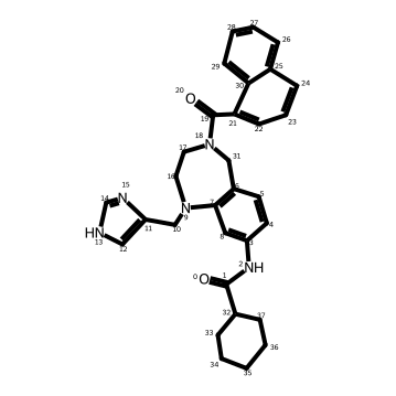 O=C(Nc1ccc2c(c1)N(Cc1c[nH]cn1)CCN(C(=O)c1cccc3ccccc13)C2)C1CCCCC1